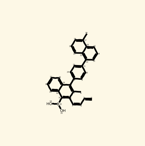 C=C/C=C\c1c(C)c(-c2ccc(-c3cccc4c(C)cccc34)cc2)c2ccccc2c1B(O)O